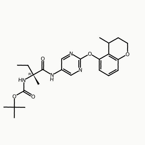 CC[C@@](C)(NC(=O)OC(C)(C)C)C(=O)Nc1cnc(Oc2cccc3c2C(C)CCO3)nc1